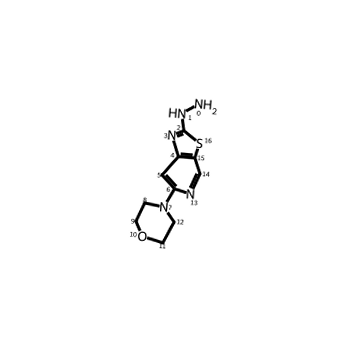 NNc1nc2cc(N3CCOCC3)ncc2s1